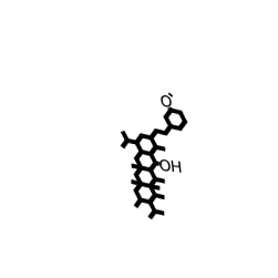 COC1CCCC(CCC2CC(C(C)C)C3CC4(C)CC5(C)CC(C)C(C(C)C)C(C)C5(C)C(C)C4C(O)C3C2C)C1